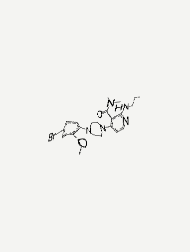 CCCNc1nccc(N2CCN(c3ccc(Br)cc3OC)CC2)c1C(=O)N(C)C